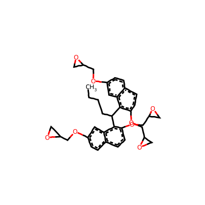 CCCCC(c1c(OCC2CO2)ccc2ccc(OCC3CO3)cc12)c1c(OCC2CO2)ccc2ccc(OCC3CO3)cc12